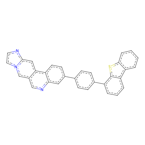 c1ccc2c(c1)sc1c(-c3ccc(-c4ccc5c(c4)ncc4cn6ccnc6cc45)cc3)cccc12